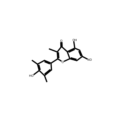 Cc1cc(-c2oc3cc(N=O)cc(O)c3c(=O)c2C)cc(C)c1O